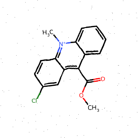 COC(=O)c1c2ccccc2[n+](C)c2ccc(Cl)cc12